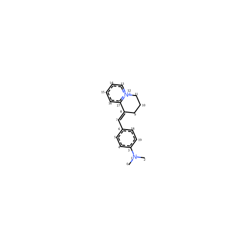 CN(C)c1ccc(C=C2CCC[n+]3ccccc32)cc1